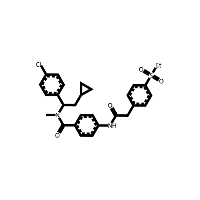 CCS(=O)(=O)c1ccc(CC(=O)Nc2ccc(C(=O)N(C)C(CC3CC3)c3ccc(Cl)cc3)cc2)cc1